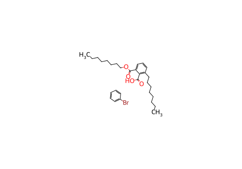 Brc1ccccc1.CCCCCCCCOC(=O)c1cccc(CCCCCCCC)c1C(=O)O